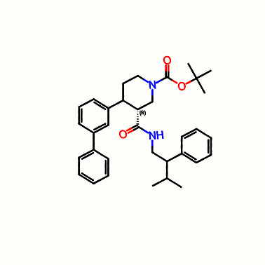 CC(C)C(CNC(=O)[C@H]1CN(C(=O)OC(C)(C)C)CCC1c1cccc(-c2ccccc2)c1)c1ccccc1